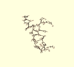 CC(C)NC(=O)c1c(NC(=O)c2ccc(Br)s2)[nH]c2cc3c(cc12)OC(C)(C)C(=O)N3